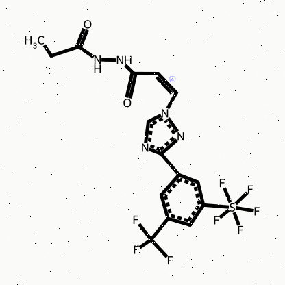 CCC(=O)NNC(=O)/C=C\n1cnc(-c2cc(C(F)(F)F)cc(S(F)(F)(F)(F)F)c2)n1